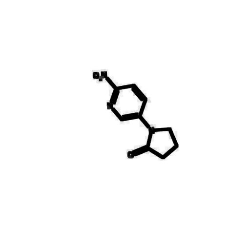 O=C1CCCN1c1ccc([N+](=O)[O-])nc1